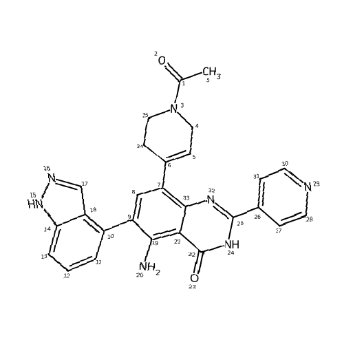 CC(=O)N1CC=C(c2cc(-c3cccc4[nH]ncc34)c(N)c3c(=O)[nH]c(-c4ccncc4)nc23)CC1